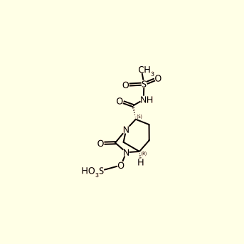 CS(=O)(=O)NC(=O)[C@@H]1CC[C@@H]2CN1C(=O)N2OS(=O)(=O)O